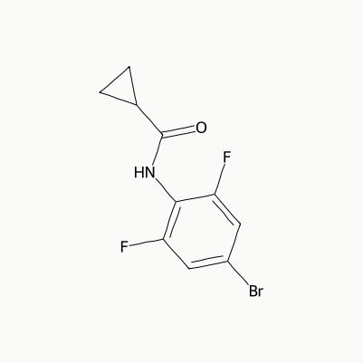 O=C(Nc1c(F)cc(Br)cc1F)C1CC1